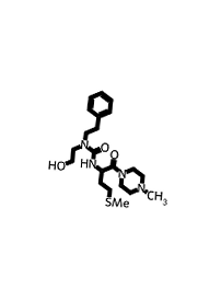 CSCCC(NC(=O)N(CCO)CCc1ccccc1)C(=O)N1CCN(C)CC1